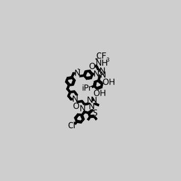 Cc1sc2c(c1C)C(c1ccc(Cl)cc1)=NC(CC(=O)N1CCC(Cc3ccc(CN(C)Cc4ccc(-n5c(C(=O)NCC(F)(F)F)nnc5-c5cc(C(C)C)c(O)cc5O)cc4)cc3)CC1)c1nnc(C)n1-2